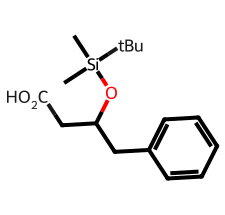 CC(C)(C)[Si](C)(C)OC(CC(=O)O)Cc1ccccc1